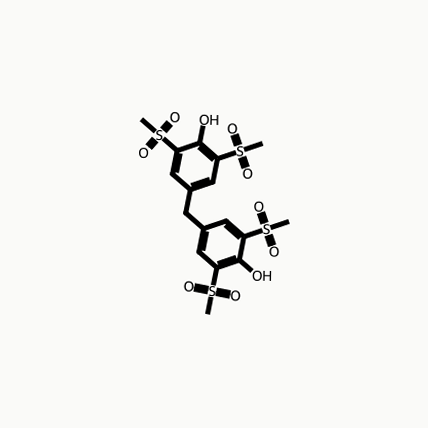 CS(=O)(=O)c1cc(Cc2cc(S(C)(=O)=O)c(O)c(S(C)(=O)=O)c2)cc(S(C)(=O)=O)c1O